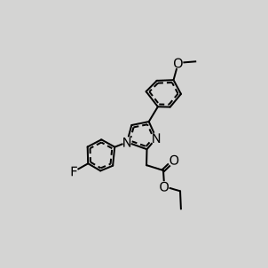 CCOC(=O)Cc1nc(-c2ccc(OC)cc2)cn1-c1ccc(F)cc1